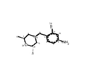 C[C@H]1CN(Cc2ccc(N)cc2F)C[C@H](C)O1